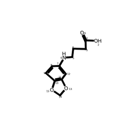 O=C(O)CCCNc1ccc2c(c1)OCO2